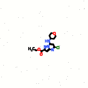 CCOC(=O)c1cc2nc(Cl)cc(NC3CCOCC3)n2n1